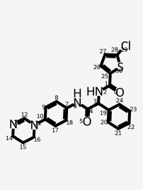 O=C(NC(C(=O)Nc1ccc(N2C=NCCC2)cc1)c1ccccc1)c1ccc(Cl)s1